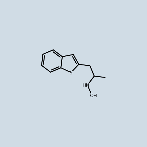 CC(Cc1cc2ccccc2s1)NO